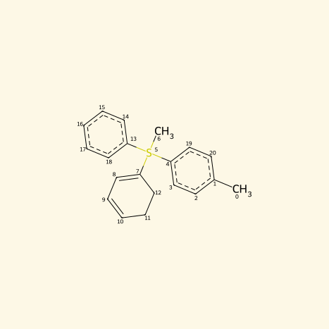 Cc1ccc(S(C)(C2=CC=CCC2)c2ccccc2)cc1